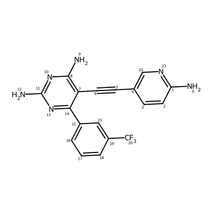 Nc1ccc(C#Cc2c(N)nc(N)nc2-c2cccc(C(F)(F)F)c2)cn1